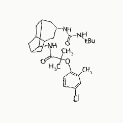 Cc1cc(Cl)ccc1OC(C)(C)C(=O)NC1C2CC(NC(=O)NC(C)(C)C)CC3CC1CC3C2